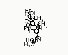 COc1cc(-c2c3c(C(F)F)cc(-c4cnn(C[C@H](C)O)c4)cc3nn2C)cc(OC(F)F)c1C(=O)N1CC(O)(C(F)(F)F)C1